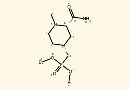 CCOP(=O)(C[C@@H]1CCN(C)[C@H](C(N)=O)C1)OCC